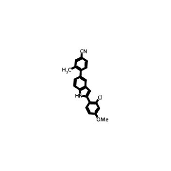 COc1ccc(-c2cc3cc(-c4ccc(C#N)cc4C)ccc3[nH]2)c(Cl)c1